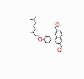 CC(C)CCCC(C)CCOc1ccc(-c2cc(C=O)cc3ccc(C=O)cc23)cc1